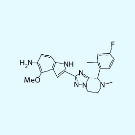 COc1c(N)ccc2[nH]c(-c3nc4n(n3)CCN(C)C4c3ccc(F)cc3C)cc12